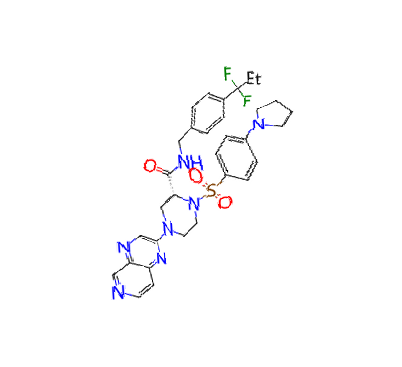 CCC(F)(F)c1ccc(CNC(=O)[C@H]2CN(c3cnc4cnccc4n3)CCN2S(=O)(=O)c2ccc(N3CCCC3)cc2)cc1